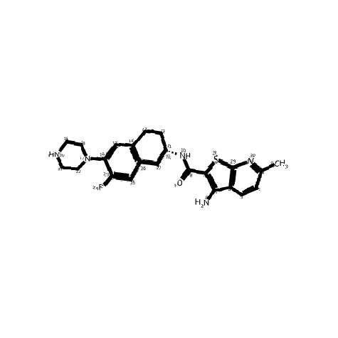 Cc1ccc2c(N)c(C(=O)N[C@H]3CCc4cc(N5CCNCC5)c(F)cc4C3)sc2n1